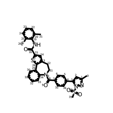 Cc1cc(-c2ccc(C(=O)N3CCc4cc(C(=O)Nc5c(C)cccc5F)sc4-c4ccccc43)cc2)n(S(C)(=O)=O)n1